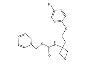 O=C(NC1(CCOc2ccc(Br)cc2)COC1)OCc1ccccc1